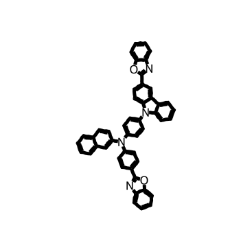 c1ccc2cc(N(c3ccc(-c4nc5ccccc5o4)cc3)c3ccc(-n4c5ccccc5c5cc(-c6nc7ccccc7o6)ccc54)cc3)ccc2c1